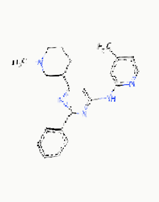 Cc1ccnc(Nc2cc(C3CCCN(C)C3)nc(-c3ccccc3)n2)c1